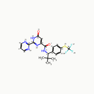 CC(C)(C)[C@@H](NC(=O)c1cc(=O)[nH]c(-c2ncccn2)n1)c1ccc(SC(F)(F)F)cc1